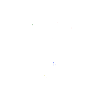 CCc1ccc(S(=O)(=O)O)cc1.CSc1nc(-c2ccc(Cl)cc2)cs1